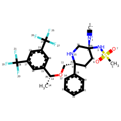 [C-]#[N+][C@@]1(NS(C)(=O)=O)CC[C@@](CO[C@H](C)c2cc(C(F)(F)F)cc(C(F)(F)F)c2)(c2ccccc2)NC1